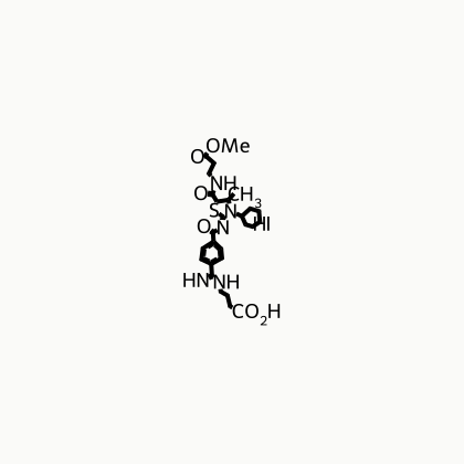 COC(=O)CCNC(=O)C1SC(=NC(=O)c2ccc(C(=N)NCCCC(=O)O)cc2)N(C2CCCCC2)C1C.I